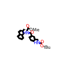 COC(=O)[C@@H](Cc1ccc2ccccc2c1)NC(=O)c1cccc(CNC(=O)OC(C)(C)C)c1